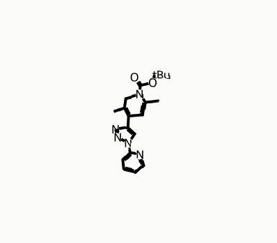 CC1=CC(c2cn(-c3ccccn3)nn2)=C(C)CN1C(=O)OC(C)(C)C